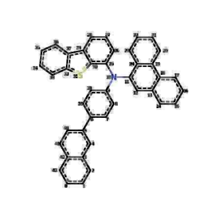 c1ccc2cc(-c3ccc(N(c4cc5ccccc5c5ccccc45)c4cccc5c4sc4ccccc45)cc3)ccc2c1